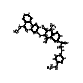 COC(=O)c1ccccc1-c1ccc(Cn2c(=O)c3cc(C(=O)NCc4ccc(OC)cc4)ccc3n(C)c2=O)cc1